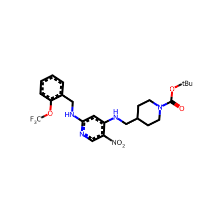 CC(C)(C)OC(=O)N1CCC(CNc2cc(NCc3ccccc3OC(F)(F)F)ncc2[N+](=O)[O-])CC1